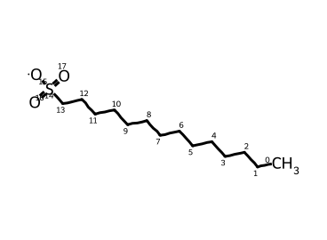 CCCCCCCCCCCCCCS([O])(=O)=O